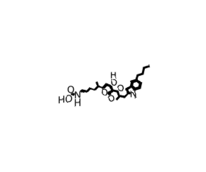 CCCCc1ccc2c(c1)cc(C=C(C)C(=O)c1c(O)cc(C(C)CCC=CNC(=O)O)oc1=O)n2C